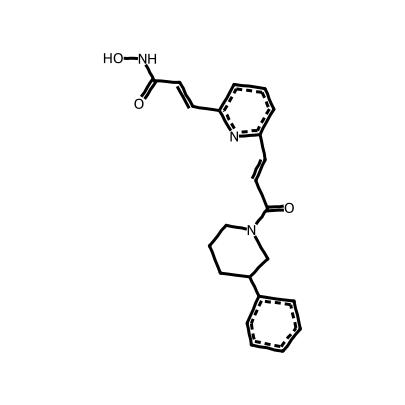 O=C(C=Cc1cccc(C=CC(=O)N2CCCC(c3ccccc3)C2)n1)NO